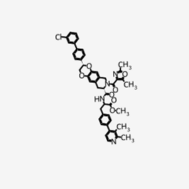 COC(=O)C(Cc1ccc(-c2ccnc(C)c2C)cc1)NC(=O)[C@@H]1Cc2cc3c(cc2CN1C(=O)c1nc(C)oc1C)O[C@@H](c1ccc(-c2cccc(Cl)c2)cc1)CO3